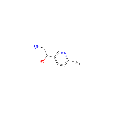 Cc1ccc(C(O)CN)cn1